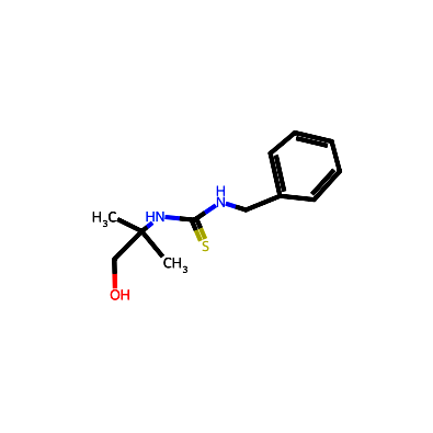 CC(C)(CO)NC(=S)NCc1ccccc1